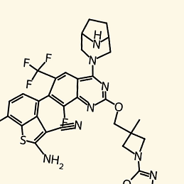 CC1(COc2nc(N3CC4CCC(C3)N4)c3cc(C(F)(F)F)c(-c4ccc(F)c5sc(N)c(C#N)c45)c(F)c3n2)CN(c2ncco2)C1